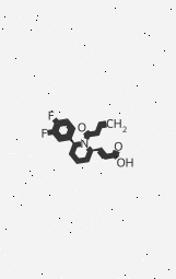 C=CCC(=O)N1[C@@H](C=CC(=O)O)CCC[C@H]1c1ccc(F)c(F)c1